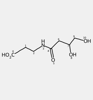 O=C(O)CCNC(=O)CC(O)CO